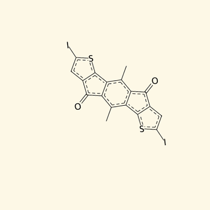 Cc1c2c(=O)c3cc(I)sc3c2c(C)c2c(=O)c3cc(I)sc3c12